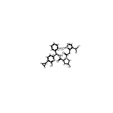 Cn1ncc(C(F)F)c1CC(=O)N1CC(F)CC1C(=O)NC(c1ccccc1)c1ccc(C2CC2)c(F)n1